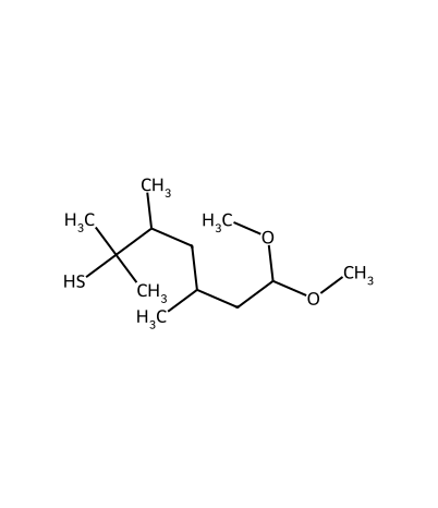 COC(CC(C)CC(C)C(C)(C)S)OC